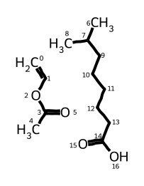 C=COC(C)=O.CC(C)CCCCCC(=O)O